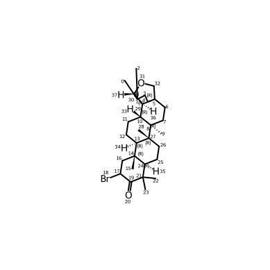 CC1(C)CC[C@]23CC[C@]4(C)[C@H](CC[C@@H]5[C@@]6(C)CC(Br)C(=O)C(C)(C)[C@@H]6CC[C@]54C)[C@H]2[C@H]1OC3